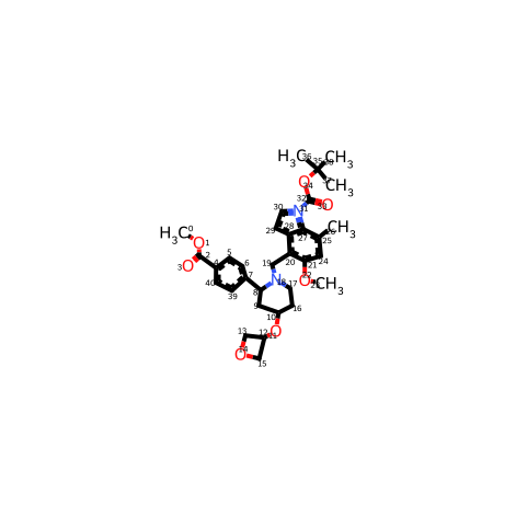 COC(=O)c1ccc(C2CC(OC3COC3)CCN2Cc2c(OC)cc(C)c3c2ccn3C(=O)OC(C)(C)C)cc1